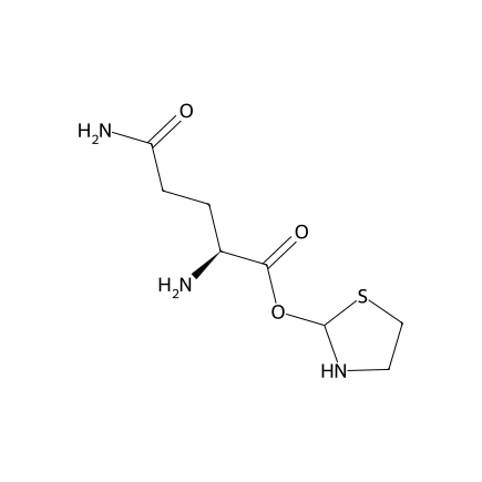 NC(=O)CC[C@H](N)C(=O)OC1NCCS1